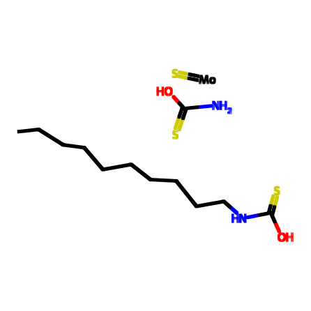 CCCCCCCCCCNC(O)=S.NC(O)=S.[S]=[Mo]